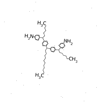 CCCCCCCCCCCC(c1ccc(C(CCCCCC)c2ccc(N)cc2)cc1)c1ccc(C(CCCCCC)c2ccc(N)cc2)cc1